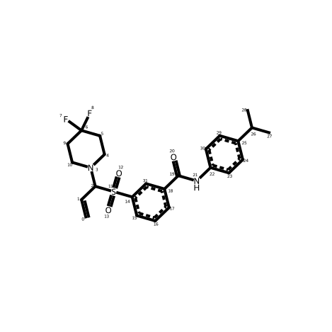 C=CC(N1CCC(F)(F)CC1)S(=O)(=O)c1cccc(C(=O)Nc2ccc(C(C)C)cc2)c1